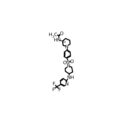 CC(=O)N[C@H]1CCCN(c2ccc(S(=O)(=O)N3CCC(Nc4ccc(C(F)(F)F)cn4)CC3)cc2)C1